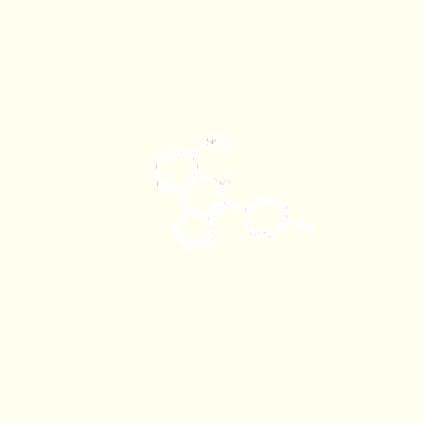 Cc1ccc(C2=C3C=CCC3c3cccc([N+](=O)[O-])c3N2)cc1